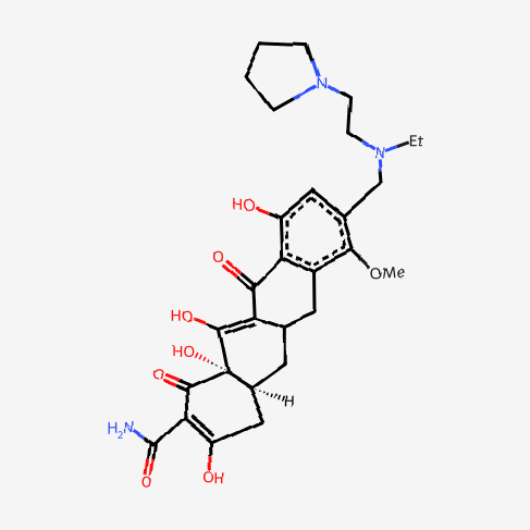 CCN(CCN1CCCC1)Cc1cc(O)c2c(c1OC)CC1C[C@H]3CC(O)=C(C(N)=O)C(=O)[C@@]3(O)C(O)=C1C2=O